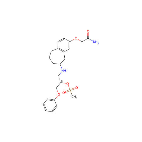 CS(=O)(=O)O[C@@H](CNC1CCCc2ccc(OCC(N)=O)cc2C1)COc1ccccc1